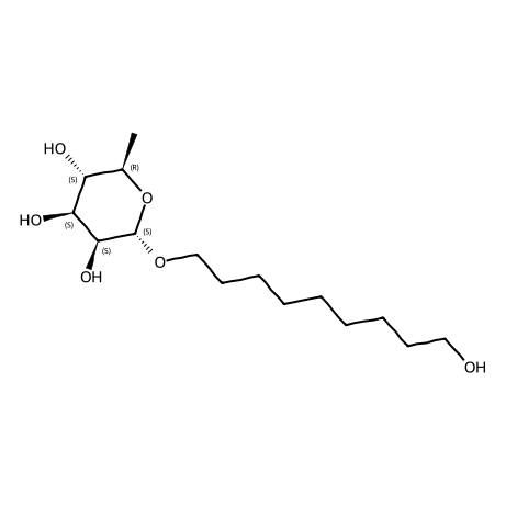 C[C@H]1O[C@H](OCCCCCCCCCO)[C@@H](O)[C@@H](O)[C@@H]1O